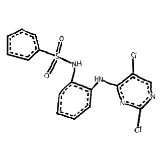 O=S(=O)(Nc1ccccc1Nc1nc(Cl)ncc1Cl)c1ccccc1